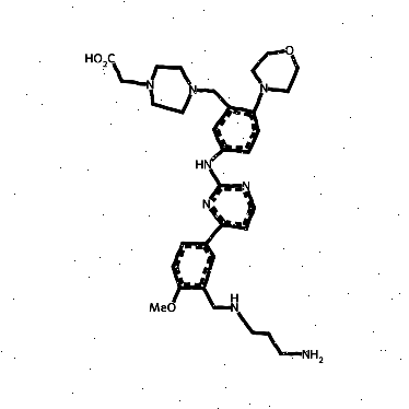 COc1ccc(-c2ccnc(Nc3ccc(N4CCOCC4)c(CN4CCN(CC(=O)O)CC4)c3)n2)cc1CNCCCN